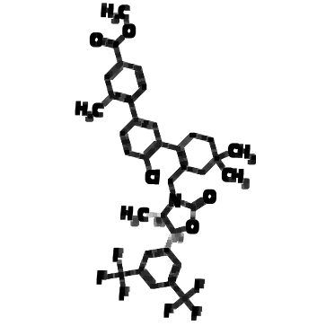 COC(=O)c1ccc(-c2ccc(Cl)c(C3=C(CN4C(=O)O[C@H](c5cc(C(F)(F)F)cc(C(F)(F)F)c5)[C@@H]4C)CC(C)(C)CC3)c2)c(C)c1